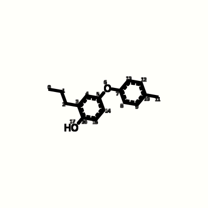 CCCc1cc(Oc2ccc(C)cc2)ccc1O